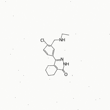 CCNCc1cc(-c2n[nH]c(=O)c3c2CCCC3)ccc1Cl